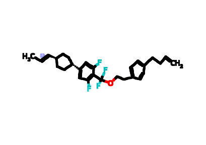 C=CCCc1ccc(CCOC(F)(F)c2c(F)cc([C@H]3CC[C@H](/C=C/C)CC3)cc2F)cc1